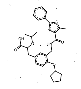 Cc1sc(-c2ccccc2)nc1C(=O)NCc1cc(CC(OC(C)C)C(=O)O)ccc1OC1CCCC1